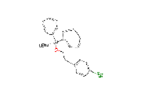 CC(C)(C)[Si](OCCc1ccc(Br)cc1)(c1ccccc1)c1ccccc1